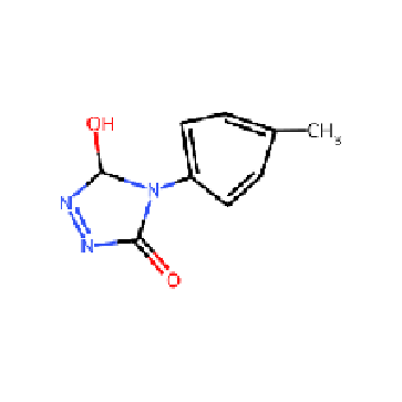 Cc1ccc(N2C(=O)N=NC2O)cc1